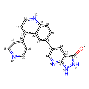 O=c1[nH][nH]c2ncc(-c3ccc4nccc(-c5ccncc5)c4c3)cc12